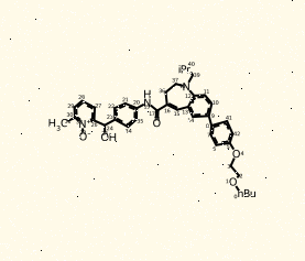 CCCCOCCOc1ccc(-c2ccc3c(c2)C=C(C(=O)Nc2ccc(C(O)c4cccc(C)[n+]4[O-])cc2)CCN3CC(C)C)cc1